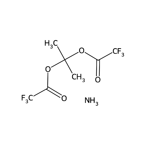 CC(C)(OC(=O)C(F)(F)F)OC(=O)C(F)(F)F.N